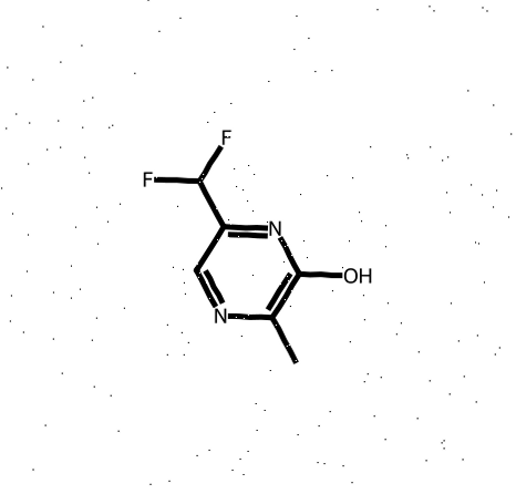 Cc1ncc(C(F)F)nc1O